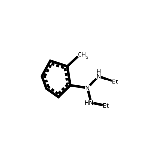 CCNN(NCC)c1ccccc1C